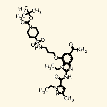 CCn1nc(C)cc1C(=O)Nc1nc2cc(C(N)=O)cc(OCCCNS(=O)(=O)C3CCN(C(=O)OC(C)(C)C)CC3)c2n1CC